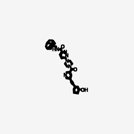 O=C(NCC12CC3CC(CC(C3)C1)C2)c1ccc(N2CCN(C(=O)c3cncc(C#Cc4cccc(O)c4)c3)CC2)nn1